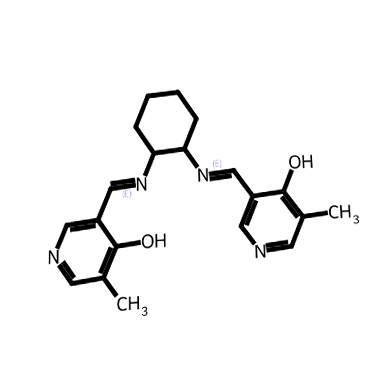 Cc1cncc(/C=N/C2CCCCC2/N=C/c2cncc(C)c2O)c1O